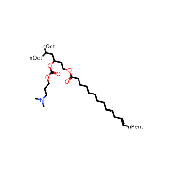 CCCCC/C=C/C/C=C/CCCCCCCC(=O)OCCC(CC(CCCCCCCC)CCCCCCCC)OC(=O)OCCCN(C)C